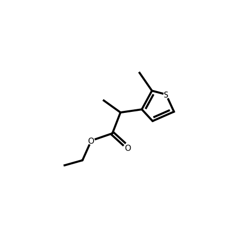 CCOC(=O)C(C)c1ccsc1C